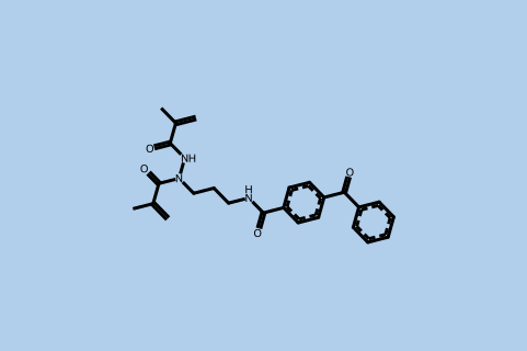 C=C(C)C(=O)NN(CCCNC(=O)c1ccc(C(=O)c2ccccc2)cc1)C(=O)C(=C)C